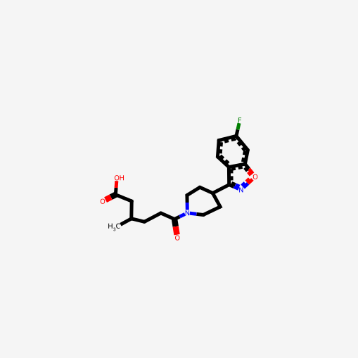 CC(CCC(=O)N1CCC(c2noc3cc(F)ccc23)CC1)CC(=O)O